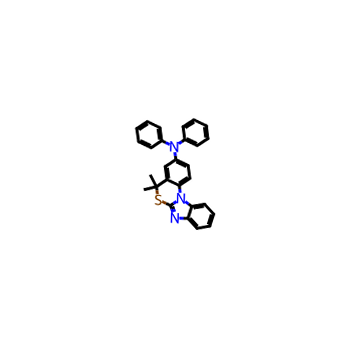 CC1(C)Sc2nc3ccccc3n2-c2ccc(N(c3ccccc3)c3ccccc3)cc21